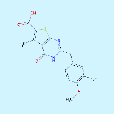 COc1ccc(Cc2nc3sc(C(=O)O)c(C)c3c(=O)[nH]2)cc1Br